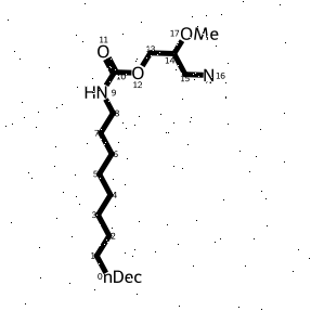 CCCCCCCCCCCCCCCCCCNC(=O)OCC(C[N])OC